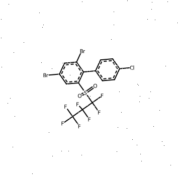 O=S(=O)(c1cc(Br)[c]c(Br)c1-c1ccc(Cl)cc1)C(F)(F)C(F)(F)C(F)(F)F